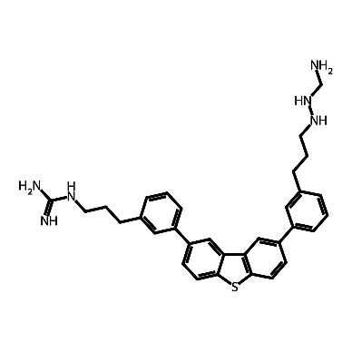 N=C(N)NCCCc1cccc(-c2ccc3sc4ccc(-c5cccc(CCCNNCN)c5)cc4c3c2)c1